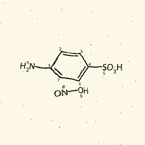 Nc1ccc(S(=O)(=O)O)cc1.O=NO